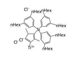 CCCCCCc1cc(CCCCCC)cc([Si](C2=C(C)[C]([Ti+3])=CC2C)(c2cc(CCCCCC)cc(CCCCCC)c2)c2cc(CCCCCC)cc(CCCCCC)c2)c1.[Cl-].[Cl-].[Cl-]